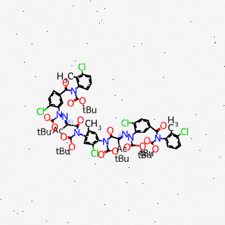 CC(=O)/C(=N\N(C(=O)OC(C)(C)C)c1cc(C(=O)N(C(=O)OC(C)(C)C)c2cccc(Cl)c2C)ccc1Cl)C(=O)N(C(=O)OC(C)(C)C)c1cc(Cl)c(N(C(=O)OC(C)(C)C)C(=O)/C(=N/N(C(=O)OC(C)(C)C)c2cc(C(=O)N(C(=O)OC(C)(C)C)c3cccc(Cl)c3C)ccc2Cl)C(C)=O)cc1C